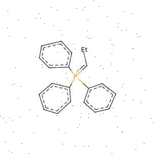 CCC=P(c1ccccc1)(c1ccccc1)c1ccccc1